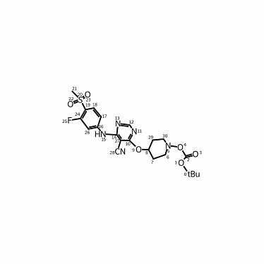 CC(C)(C)OC(=O)ON1CCC(Oc2ncnc(Nc3ccc(S(C)(=O)=O)c(F)c3)c2C#N)CC1